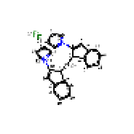 C1=C(n2cccc2)[CH]([Zr+2][CH]2C(n3cccc3)=Cc3ccccc32)c2ccccc21.[F-].[F-]